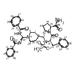 CS(=O)(=O)N(CC1CCN(C(=NC(=O)c2ccccc2)NC(=O)c2ccccc2)CC1)[C@H](Cc1ccccc1)C(=O)N1CCC[C@H]1C(N)=O